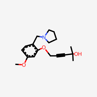 COc1ccc(CN2CCCC2)c(OCC#CC(C)(C)O)c1